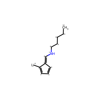 [Li][C]1=CC=CC1=CNCCCCC